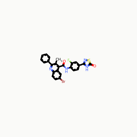 Cc1c(-c2ccccc2)nc2ccc(Br)cc2c1C(=O)Nc1ccc(-c2nsc(=O)[nH]2)cc1F